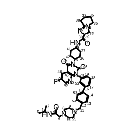 CC(C)NC(=O)CN1CCN(Cc2ccc(-c3cccc(-n4c(=O)n([C@H]5CC[C@@H](NC(=O)C6CN7CCCCC7=N6)CC5)c(=O)c5cc(F)cnc54)c3)cc2)CC1